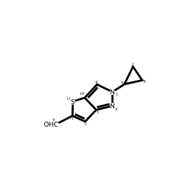 O=Cc1cc2nn(C3CC3)cc2s1